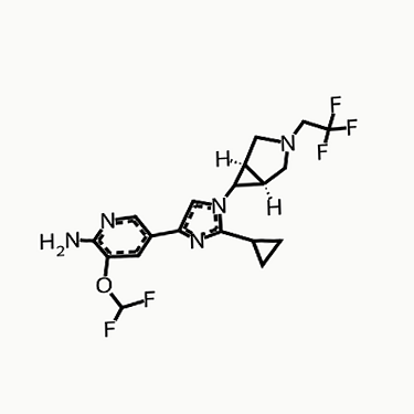 Nc1ncc(-c2cn(C3[C@H]4CN(CC(F)(F)F)C[C@@H]34)c(C3CC3)n2)cc1OC(F)F